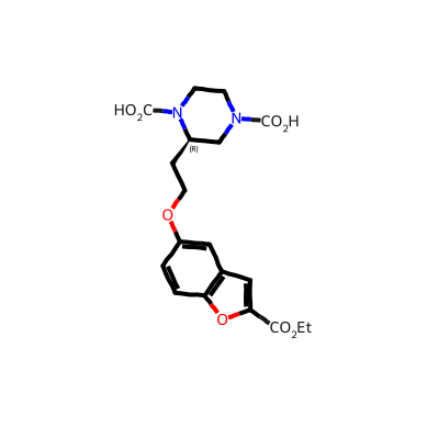 CCOC(=O)c1cc2cc(OCC[C@@H]3CN(C(=O)O)CCN3C(=O)O)ccc2o1